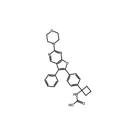 O=C(O)NC1(c2ccc(-c3oc4nc(N5CCOCC5)ncc4c3-c3ccccc3)cc2)CCC1